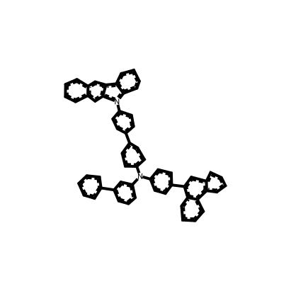 c1ccc(-c2cccc(N(c3ccc(-c4ccc(-n5c6ccccc6c6cc7ccccc7cc65)cc4)cc3)c3ccc(-c4cc5ccccc5c5ccccc45)cc3)c2)cc1